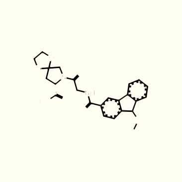 COC1c2ccccc2-c2cc(C(=O)NCC(=O)N3CC4(C[C@H]3C(=O)O)OCCO4)ccc21